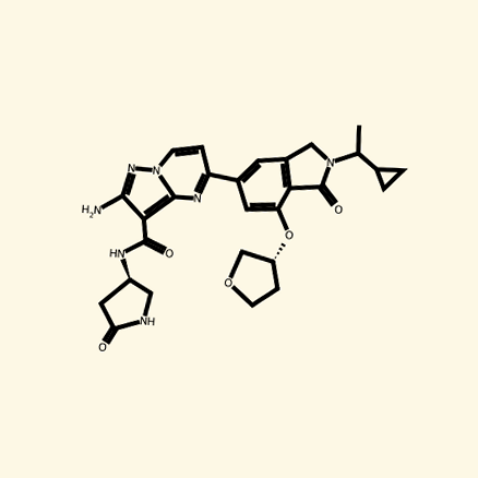 CC(C1CC1)N1Cc2cc(-c3ccn4nc(N)c(C(=O)N[C@H]5CNC(=O)C5)c4n3)cc(O[C@@H]3CCOC3)c2C1=O